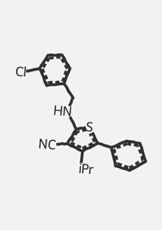 CC(C)c1c(-c2ccccc2)sc(NCc2cccc(Cl)c2)c1C#N